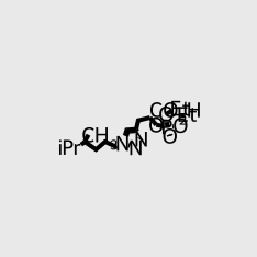 CCOP(=O)(OCC)OC(Cc1cn(CCCC(C)C(C)C)nn1)C(=O)O